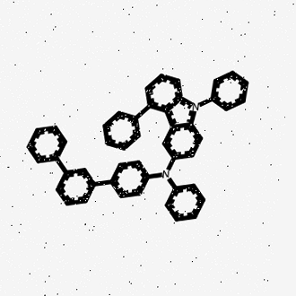 c1ccc(-c2cccc(-c3ccc(N(c4ccccc4)c4ccc5c(c4)c4c(-c6ccccc6)cccc4n5-c4ccccc4)cc3)c2)cc1